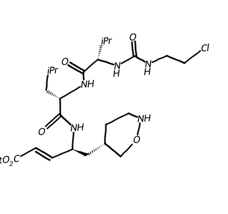 CCOC(=O)/C=C/[C@H](C[C@@H]1CCNOC1)NC(=O)[C@H](CC(C)C)NC(=O)[C@@H](NC(=O)NCCCl)C(C)C